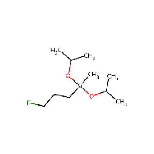 CC(C)O[Si](C)(CCCF)OC(C)C